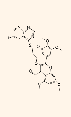 COc1cc(OC)c2c(c1)OC(c1cc(OC)c(OC)c(OC)c1)=C(OCCCSc1ncnc3ccc(I)cc13)C2C=O